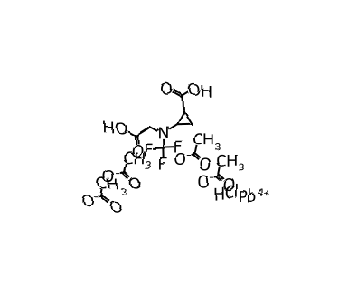 CC(=O)[O-].CC(=O)[O-].CC(=O)[O-].CC(=O)[O-].Cl.O=C(O)CN(C1CC1C(=O)O)C(F)(F)F.[Pb+4]